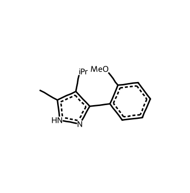 COc1ccccc1-c1n[nH]c(C)c1C(C)C